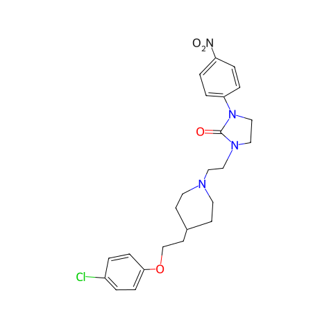 O=C1N(CCN2CCC(CCOc3ccc(Cl)cc3)CC2)CCN1c1ccc([N+](=O)[O-])cc1